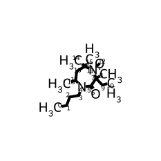 CCCCN1C(=O)C(C)(CC)N([O])C(C)(C)CC1C